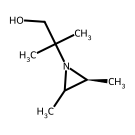 CC1[C@H](C)N1C(C)(C)CO